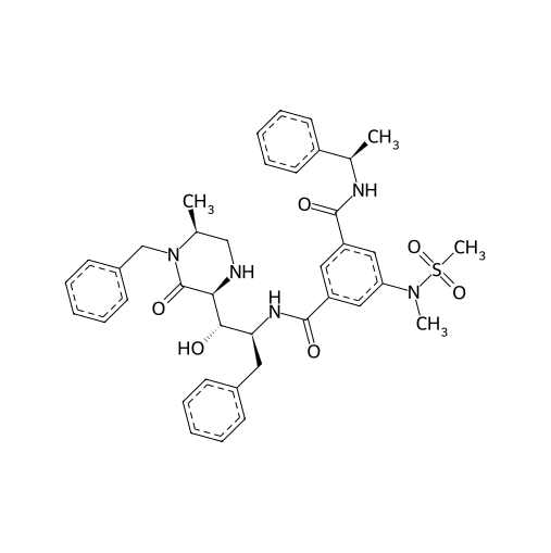 C[C@@H](NC(=O)c1cc(C(=O)N[C@@H](Cc2ccccc2)[C@H](O)[C@@H]2NC[C@H](C)N(Cc3ccccc3)C2=O)cc(N(C)S(C)(=O)=O)c1)c1ccccc1